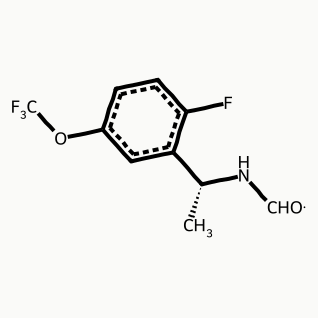 C[C@@H](N[C]=O)c1cc(OC(F)(F)F)ccc1F